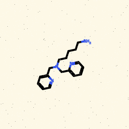 NCCCCCN(Cc1ccccn1)Cc1ccccn1